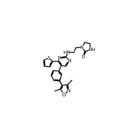 Cc1noc(C)c1-c1cccc(-c2cnc(NCCN3CCNC3=O)nc2-c2cccs2)c1